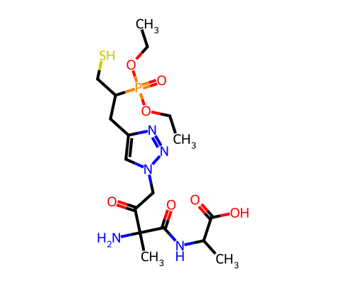 CCOP(=O)(OCC)C(CS)Cc1cn(CC(=O)C(C)(N)C(=O)NC(C)C(=O)O)nn1